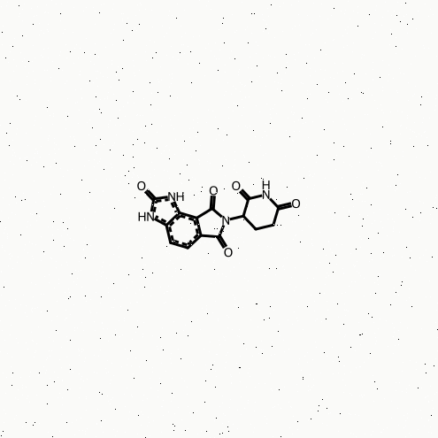 O=C1CCC(N2C(=O)c3ccc4[nH]c(=O)[nH]c4c3C2=O)C(=O)N1